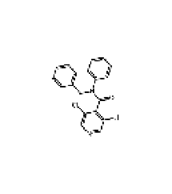 O=C(c1c(Cl)cncc1Cl)N(Cc1ccccc1)c1ccccc1